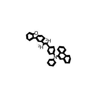 [2H]/C(=C(/[2H])c1ccc2oc3ccccc3c2c1)c1ccc(N(c2ccccc2)c2cc3ccccc3c3ccccc23)cc1